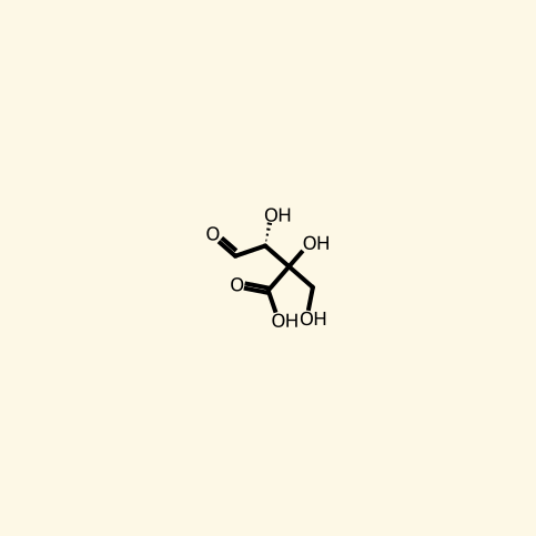 O=C[C@H](O)C(O)(CO)C(=O)O